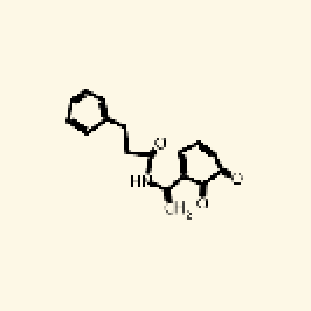 C=C(NC(=O)CCc1ccccc1)C1=CC=CC(=O)C1=O